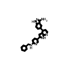 Nc1n[nH]c2ccc(-c3ccnc4[nH]c(-c5ccc(NCc6ccccc6)nc5)cc34)cc12